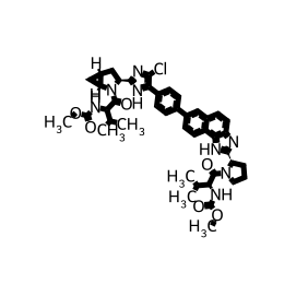 COC(=O)NC(C(=O)N1[C@@H]2C[C@@H]2C[C@H]1c1nc(Cl)c(-c2ccc(-c3ccc4c(ccc5nc([C@@H]6CCCN6C(=O)[C@@H](NC(=O)OC)C(C)C)[nH]c54)c3)cc2)[nH]1)C(C)C